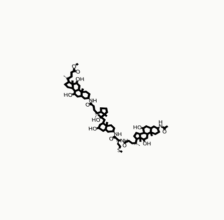 COC(=O)CC[C@@H](C)C1CCC2C3C(O)CC4CC(NC(=O)CC[C@@H](C)C5CCCC5(C)C(C)(O)CC5CC(O)CC6CC(NC(=O)[C@H](CCSC)NC(=O)CC[C@@H](C)C7CCC8C9C(O)CC%10CC(NC(C)=O)CCC%10(C)C9CC(O)C87C)CCC65C)CCC4(C)C3CC(O)C21C